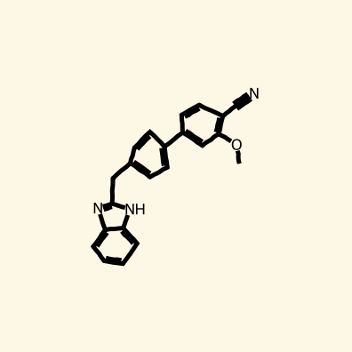 COc1cc(-c2ccc(Cc3nc4ccccc4[nH]3)cc2)ccc1C#N